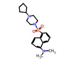 CN(C)c1cccc2c(S(=O)(=O)N3CCN(C4CCCC4)CC3)cccc12